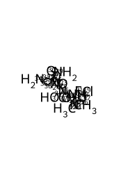 C[C@H](CO)N(CC(=O)N[C@H](CN(C)C)c1cccc(Cl)c1F)C(=O)Cn1nc(C(N)=O)c2cc(N)ccc21